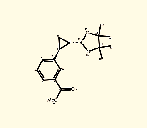 COC(=O)c1cccc([C@H]2C[C@@H]2B2OC(C)(C)C(C)(C)O2)c1